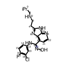 CC(C)CNCCc1nc2c(/C(=N\O)Nc3ccc(F)c(Cl)c3)ccnc2[nH]1